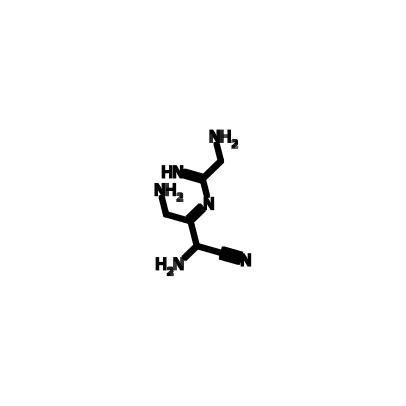 N#CC(N)C(CN)=NC(=N)CN